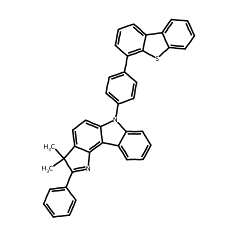 CC1(C)C(c2ccccc2)=Nc2c1ccc1c2c2ccccc2n1-c1ccc(-c2cccc3c2sc2ccccc23)cc1